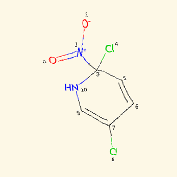 O=[N+]([O-])C1(Cl)C=CC(Cl)=CN1